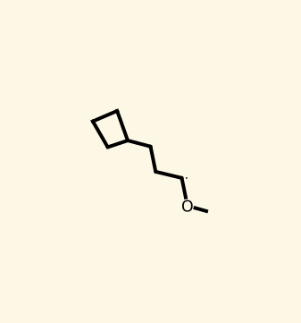 CO[CH]CCC1CCC1